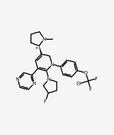 CN1CCC[C@@H]1C1=CC(c2cnccn2)=C(N2CCC(F)C2)N(c2ccc(OC(F)(F)Cl)cc2)C1